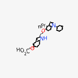 CCCc1c(OCCc2cc3cc(OCC(=O)O)ccc3[nH]2)ccc2c1ccn2-c1ccccc1